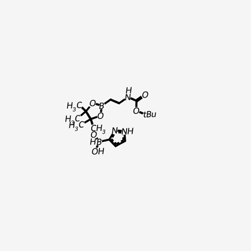 CC(C)(C)OC(=O)NCCB1OC(C)(C)C(C)(C)O1.OB(O)c1cc[nH]n1